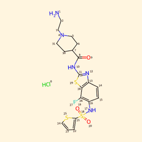 Cl.NCCN1CCC(C(=O)Nc2nc3ccc(NS(=O)(=O)c4cccs4)c(F)c3s2)CC1